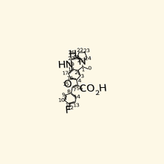 CC1c2cc3c(C(=O)O)c(-c4ccc(F)cc4)oc3cc2NC[C@@H]2CCCN12